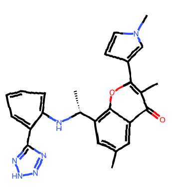 Cc1cc([C@@H](C)Nc2ccccc2-c2nn[nH]n2)c2oc(-c3ccn(C)c3)c(C)c(=O)c2c1